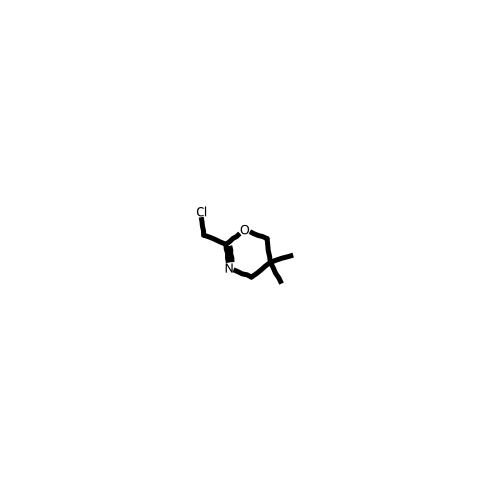 CC1(C)CN=C(CCl)OC1